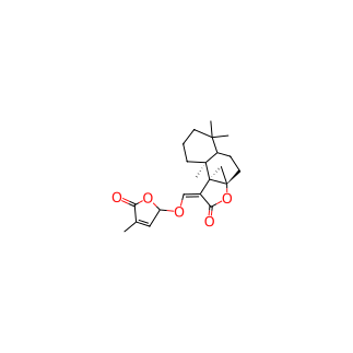 CC1=CC(O/C=C2\C(=O)O[C@]34CCC5C(C)(C)CCC[C@]5(C)[C@]23C4)OC1=O